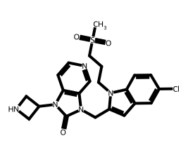 CS(=O)(=O)CCCn1c(Cn2c(=O)n(C3CNC3)c3ccncc32)cc2cc(Cl)ccc21